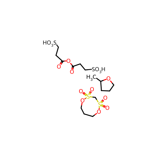 CC1CCCO1.O=C(CCS(=O)(=O)O)OC(=O)CCS(=O)(=O)O.O=S1(=O)CS(=O)(=O)OCCCO1